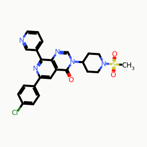 CS(=O)(=O)N1CCC(n2cnc3c(-c4cccnc4)nc(-c4ccc(Cl)cc4)cc3c2=O)CC1